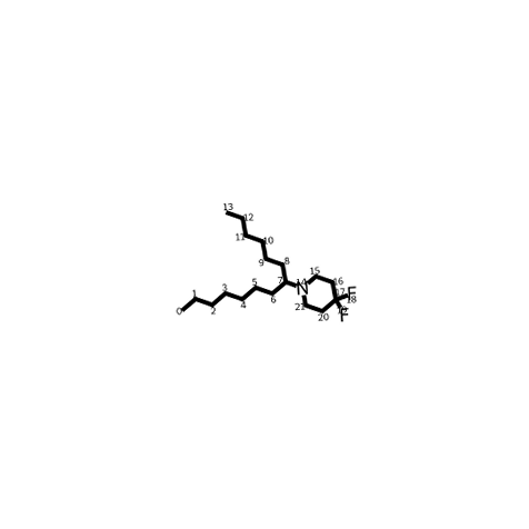 CCCCCCCC(CCCCCC)N1CCC(F)(F)CC1